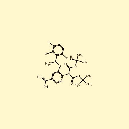 C=C(O)c1cc(OC(C)c2c(Cl)ccc(F)c2Cl)c(N(C(=O)OC(C)(C)C)C(=O)OC(C)(C)C)nn1